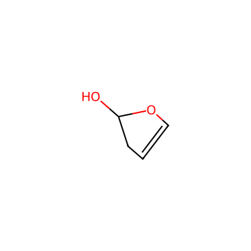 OC1CC=CO1